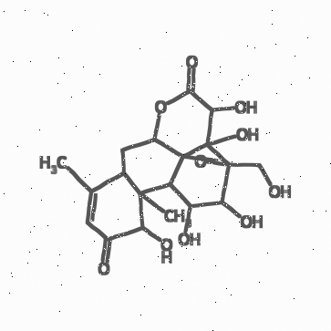 CC1=CC(=O)C(O)C2(C)C1CC1OC(=O)C(O)C3(O)C4(CO)OCC13C2C(O)C4O